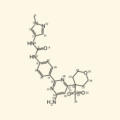 Cn1cc(NC(=O)Nc2ccc(-c3nc(N)cc(C4(S(C)(=O)=O)CCOCC4)n3)cc2)cn1